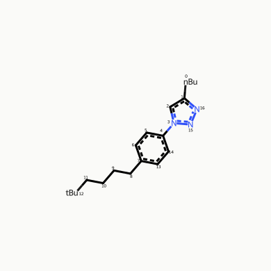 CCCCc1cn(-c2ccc(CCCCC(C)(C)C)cc2)nn1